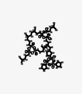 CC(C)CCCP1(=O)OP(=O)(CCCC(C)C)OP(=O)(CCCC(C)CCC(C)CCP2(=O)OP(=O)(CCC(C)C)OP(=O)(CCC(C)CC3CCC(P4(=O)OP(=O)(C5CCCC5)OP(=O)(C5CCCC5)O4)C3)O2)O1